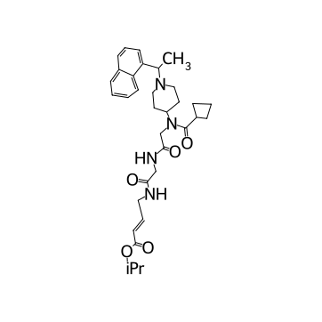 CC(C)OC(=O)/C=C/CNC(=O)CNC(=O)CN(C(=O)C1CCC1)C1CCN(C(C)c2cccc3ccccc23)CC1